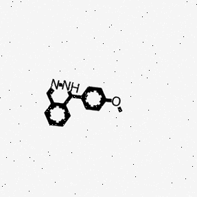 COc1ccc(C2NN=Cc3ccccc32)cc1